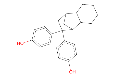 Oc1ccc(C2(c3ccc(O)cc3)CC3CC2C2CCCCC32)cc1